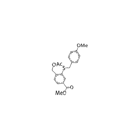 COC(=O)c1ccc(COC(C)=O)c(SCc2ccc(OC)cc2)c1